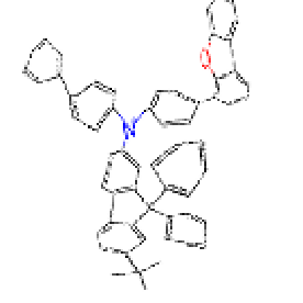 CC(C)(C)c1ccc2c(c1)C(c1ccccc1)(c1ccccc1)c1cc(N(c3ccc(-c4ccccc4)cc3)c3ccc(-c4cccc5c4oc4ccccc45)cc3)ccc1-2